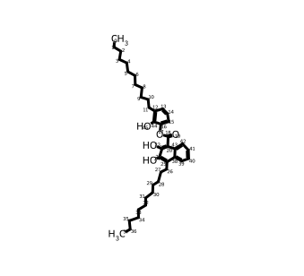 CCCCCCCCCCCCc1cccc(OC(=O)c2c(O)c(O)c(CCCCCCCCCCCC)c3ccccc23)c1O